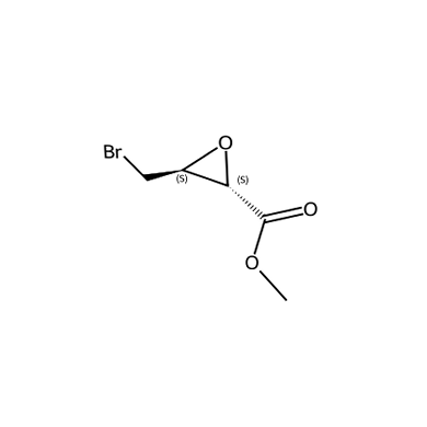 COC(=O)[C@H]1O[C@@H]1CBr